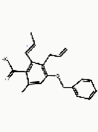 C=CCc1c(OCc2ccccc2)cc(C)c(C(=O)O)c1/C=C/C